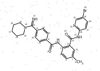 Cc1ccc(NC(=O)c2ccc(C(=N)N3CCCCC3)cc2)c(C(=O)Nc2ccc(Br)cn2)c1